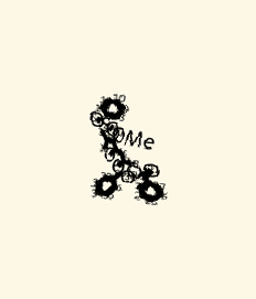 CO[C@@H]1C(CS(=O)(=O)c2ccccc2)COC1CC(COC(=O)c1ccccc1)OC(=O)c1ccccc1